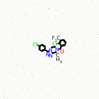 CC1c2nnc(-c3ccc(Cl)cc3)n2CCN1C(=O)c1cccc(C(F)(F)F)c1Cl